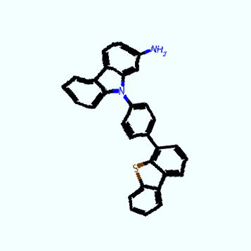 Nc1ccc2c3ccccc3n(-c3ccc(-c4cccc5c4sc4ccccc45)cc3)c2c1